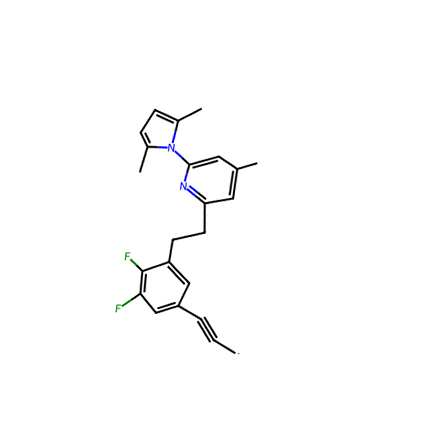 [CH2]C#Cc1cc(F)c(F)c(CCc2cc(C)cc(-n3c(C)ccc3C)n2)c1